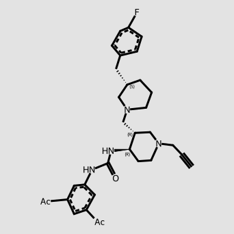 C#CCN1CC[C@@H](NC(=O)Nc2cc(C(C)=O)cc(C(C)=O)c2)[C@H](CN2CCC[C@@H](Cc3ccc(F)cc3)C2)C1